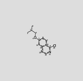 CC(C)COc1ccc2c(Cl)ncnc2c1